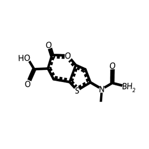 BC(=O)N(C)c1cc2oc(=O)c(C(=O)O)cc2s1